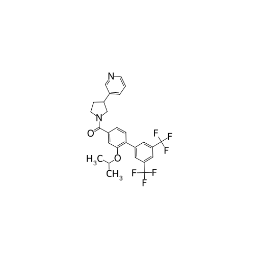 CC(C)Oc1cc(C(=O)N2CCC(c3cccnc3)C2)ccc1-c1cc(C(F)(F)F)cc(C(F)(F)F)c1